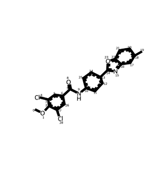 COc1c(Cl)cc(C(=O)Nc2ccc(-c3nc4cc(C)ccc4o3)cc2)cc1Cl